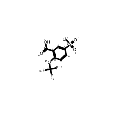 O=C(O)c1cc(S(=O)(=O)Cl)ccc1OC(F)(F)F